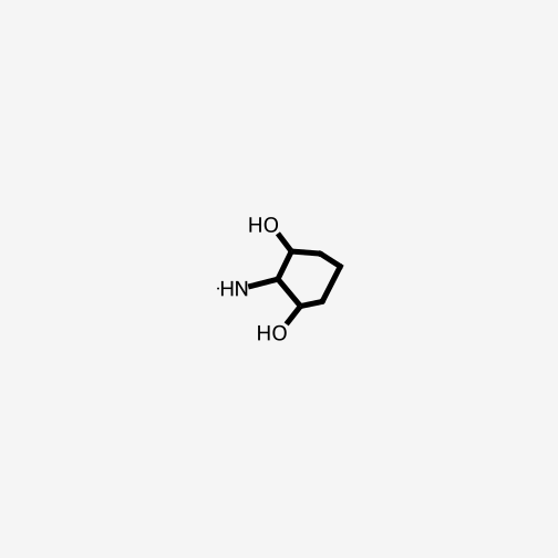 [NH]C1C(O)CCCC1O